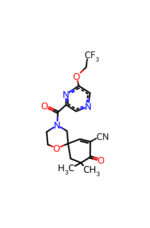 CC1(C)CC2(C=C(C#N)C1=O)CN(C(=O)c1cncc(OCC(F)(F)F)n1)CCO2